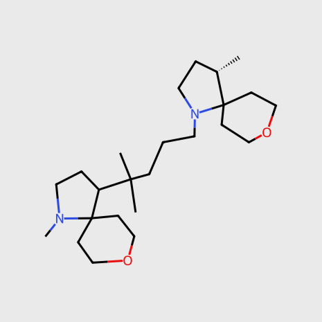 C[C@H]1CCN(CCCC(C)(C)C2CCN(C)C23CCOCC3)C12CCOCC2